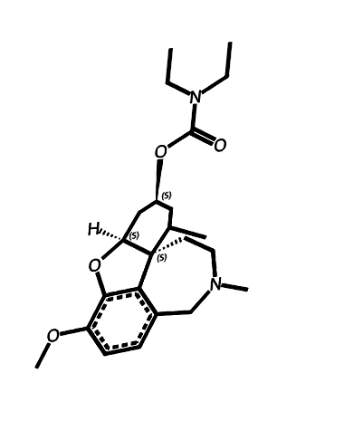 CCN(CC)C(=O)O[C@H]1CC(C)[C@@]23CCN(C)Cc4ccc(OC)c(c42)O[C@H]3C1